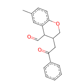 Cc1ccc2c(c1)C(C=O)C(CC(=O)c1ccccc1)CO2